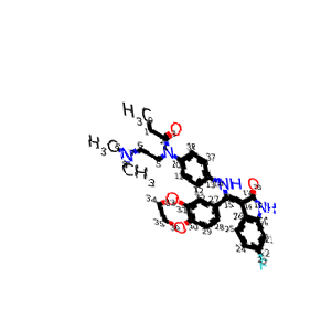 CCC(=O)N(CCN(C)C)c1ccc(N/C(=C2\C(=O)Nc3cc(F)ccc32)c2ccc3c(c2)OCCO3)cc1